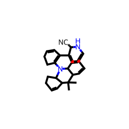 CC1(C)C2C=CC=CC2N(C2=C(C3=CC=CNC3C#N)C=CCC2)C2CCC=CC21